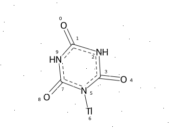 O=c1[nH]c(=O)[n]([Tl])c(=O)[nH]1